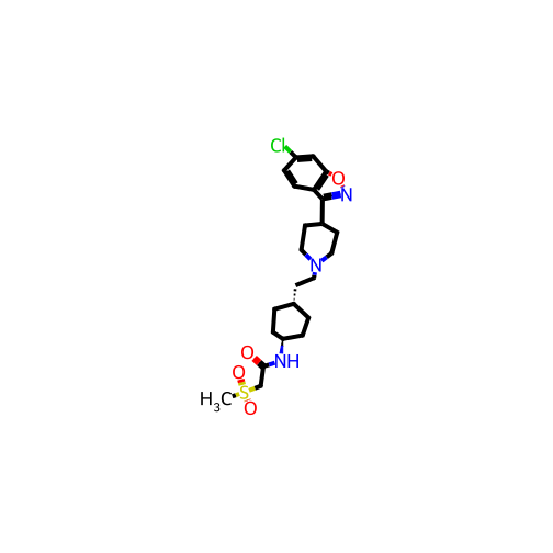 CS(=O)(=O)CC(=O)N[C@H]1CC[C@H](CCN2CCC(c3noc4cc(Cl)ccc34)CC2)CC1